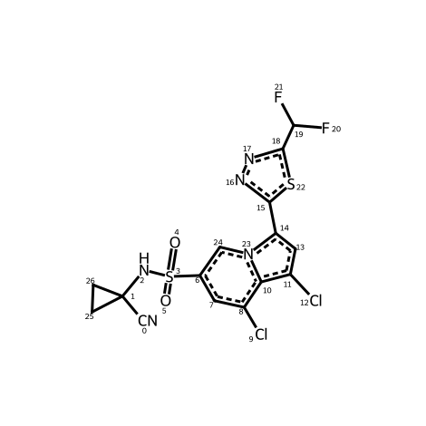 N#CC1(NS(=O)(=O)c2cc(Cl)c3c(Cl)cc(-c4nnc(C(F)F)s4)n3c2)CC1